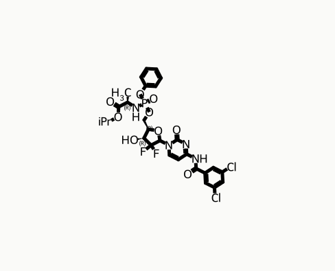 CC(C)OC(=O)[C@@H](C)NP(=O)(OC[C@H]1OC(n2ccc(NC(=O)c3cc(Cl)cc(Cl)c3)nc2=O)C(F)(F)[C@@H]1O)Oc1ccccc1